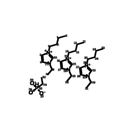 CCCC[n+]1ccn(CC)c1.CCCC[n+]1ccn(CC)c1.CCCC[n+]1ccn(CC)c1.CC[PH]([O-])([O-])[O-]